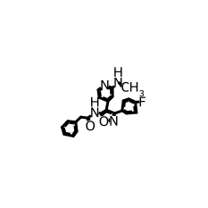 CNc1cc(-c2c(-c3ccc(F)cc3)noc2NC(=O)Cc2ccccc2)ccn1